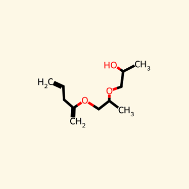 C=CCC(=C)OCC(C)OCC(C)O